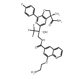 C[C@]1(C(N)=O)COc2c1cc([C@@](O)(CNC(=O)c1cc(OCCN)c3ncccc3c1)C(F)(F)F)nc2-c1ccc(F)cc1